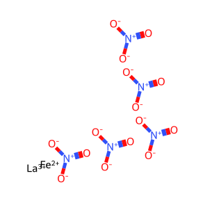 O=[N+]([O-])[O-].O=[N+]([O-])[O-].O=[N+]([O-])[O-].O=[N+]([O-])[O-].O=[N+]([O-])[O-].[Fe+2].[La+3]